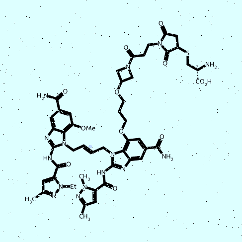 CCn1nc(C)cc1C(=O)Nc1nc2cc(C(N)=O)cc(OC)c2n1C/C=C/Cn1c(NC(=O)c2cc(C)nn2C)nc2cc(C(N)=O)cc(OCCCOC3CN(C(=O)CCN4C(=O)CC(SC[C@H](N)C(=O)O)C4=O)C3)c21